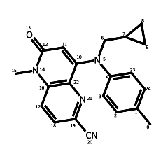 Cc1ccc(N(CC2CC2)c2cc(=O)n(C)c3ccc(C#N)nc23)cc1